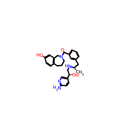 C[C@H](Cc1cccc(C(=O)N2CCCc3ccc(O)cc3C2)c1)NC[C@@H](O)c1ccc(N)nc1